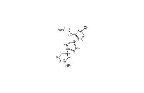 COCOc1cc(Cl)ccc1-c1cnc(N2CCC[C@@H](C(C)C)C2)nn1